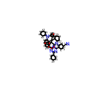 N#Cc1ccc(-c2nc(-c3ccccc3)nc(-c3ccccc3)n2)c(N2c3ccccc3C3(c4ccccc4N(c4ccccc4)c4ccccc43)c3ccccc32)c1